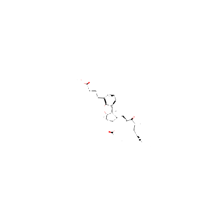 CC#CC[C@@H](C)C(=O)/C=C/[C@@H]1[C@H]2c3cccc(CCCC(=O)OC)c3O[C@H]2C[C@H]1OC(C)=O